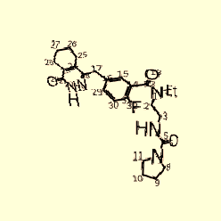 CCN(CCNC(=O)N1CCCC1)C(=O)c1cc(Cc2n[nH]c(=O)c3c2CCCC3)ccc1F